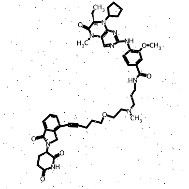 CC[C@@H]1C(=O)N(C)c2cnc(Nc3ccc(C(=O)NCCCN(C)CCOCCCC#Cc4cccc5c4CN(C4CCC(=O)NC4=O)C5=O)cc3OC)nc2N1C1CCCC1